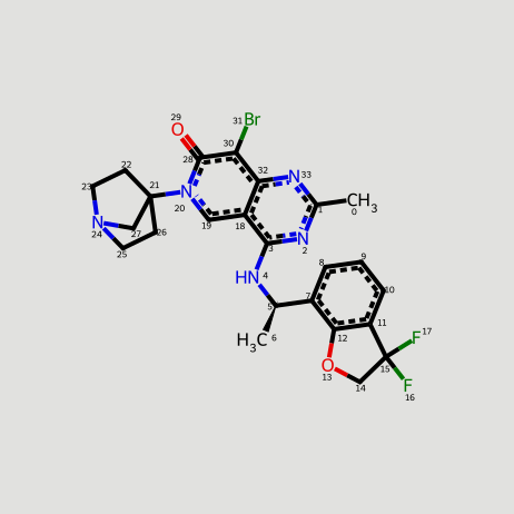 Cc1nc(N[C@H](C)c2cccc3c2OCC3(F)F)c2cn(C34CCN(CC3)C4)c(=O)c(Br)c2n1